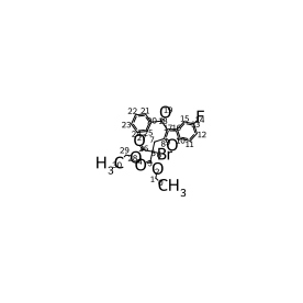 CCOC(=O)C(Br)(Cc1oc2ccc(F)cc2c1C(=O)c1ccccc1)C(=O)OCC